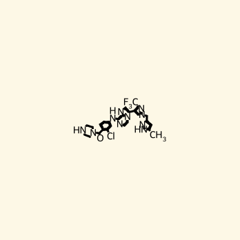 Cc1cc(Cn2cc(-c3cnc4c(Nc5ccc(C(=O)N6CCNCC6)c(Cl)c5)nccn34)c(C(F)(F)F)n2)n[nH]1